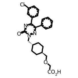 O=C(O)COC[C@H]1CC[C@H](Cn2nc(-c3ccccc3)c(-c3cccc(Cl)c3)nc2=O)CC1